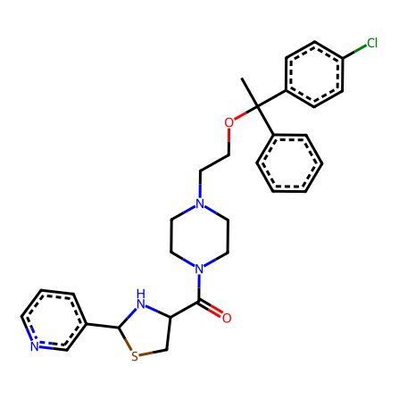 CC(OCCN1CCN(C(=O)C2CSC(c3cccnc3)N2)CC1)(c1ccccc1)c1ccc(Cl)cc1